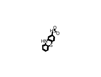 O=[SH](=O)Cc1ccc2c(c1)Nc1ccccc1S2